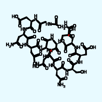 CC(=O)NCC(=O)N[C@H](CC(=O)O)C(=O)N[C@H](CC(N)=O)C(=O)N[C@H](CC(=O)O)C(=O)N[C@H](CO)C(=O)N[C@H](CCC(=O)O)C(=O)N[C@H](CC(=O)O)C(=O)N[C@H](CC(N)=O)C(=O)N[C@H](CO)C(=O)N[C@H](CC(=O)O)C(=O)N[C@H](CCC(=O)O)C(=O)O